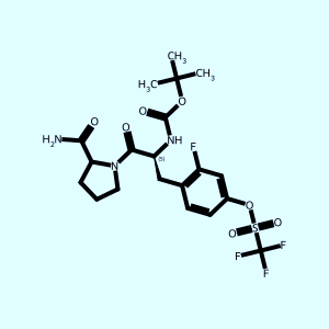 CC(C)(C)OC(=O)N[C@@H](Cc1ccc(OS(=O)(=O)C(F)(F)F)cc1F)C(=O)N1CCCC1C(N)=O